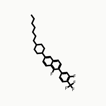 CCCCCCCC1CCC(c2ccc3c(F)c(-c4ccc(C(F)(F)F)c(F)c4)ccc3c2)CC1